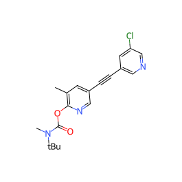 Cc1cc(C#Cc2cncc(Cl)c2)cnc1OC(=O)N(C)C(C)(C)C